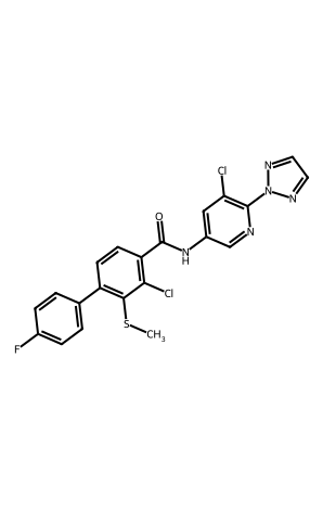 CSc1c(-c2ccc(F)cc2)ccc(C(=O)Nc2cnc(-n3nccn3)c(Cl)c2)c1Cl